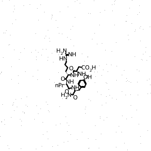 CCC[C@H](NC(=O)[C@H](CCCCNC(=N)N)NC(=O)[C@H](N)CC(=O)O)C(=O)N[C@@H](Cc1ccc(O)cc1)C(N)=O